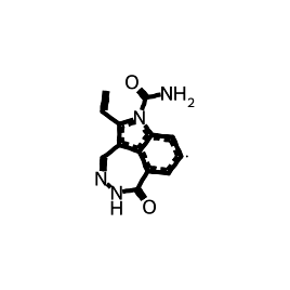 C=Cc1c2c3c(c[c]cc3n1C(N)=O)C(=O)NN=C2